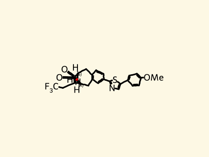 COc1ccc(-c2cnc(-c3ccc4c(c3)C[C@H]3CC[C@@H](C4)[C@]34CN(CC(F)(F)F)S(=O)(=O)N4)s2)cc1